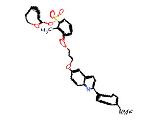 CNc1ccc(-c2ccc3cc(OCCCOc4cccc(S(=O)(=O)OC5CCCCO5)c4C)ccc3n2)cc1